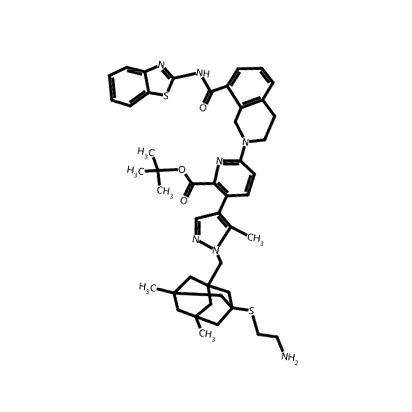 Cc1c(-c2ccc(N3CCc4cccc(C(=O)Nc5nc6ccccc6s5)c4C3)nc2C(=O)OC(C)(C)C)cnn1CC12CC3(C)CC(C)(C1)CC(SCCN)(C3)C2